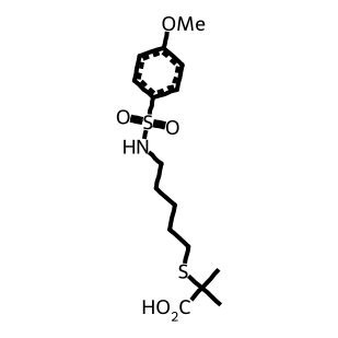 COc1ccc(S(=O)(=O)NCCCCCSC(C)(C)C(=O)O)cc1